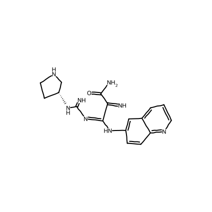 N=C(/N=C(/Nc1ccc2ncccc2c1)C(=N)C(N)=O)N[C@@H]1CCNC1